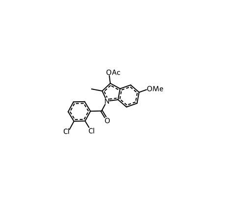 COc1ccc2c(c1)c(OC(C)=O)c(C)n2C(=O)c1cccc(Cl)c1Cl